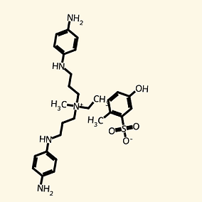 CC[N+](C)(CCCNc1ccc(N)cc1)CCCNc1ccc(N)cc1.Cc1ccc(O)cc1S(=O)(=O)[O-]